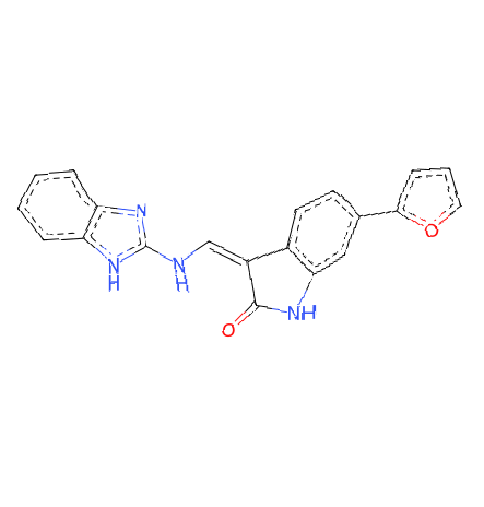 O=C1Nc2cc(-c3ccco3)ccc2C1=CNc1nc2ccccc2[nH]1